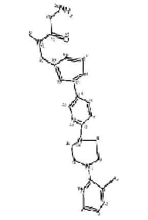 Cc1cccnc1N1CCN(c2ccc(-c3cccc(CN(C)C(=O)CN)c3)cn2)CC1